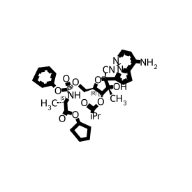 CC(C)C(=O)O[C@@H]1[C@@H](CO[P@@](=O)(N[C@@H](C)C(=O)OC2CCCC2)Oc2ccccc2)O[C@@](C#N)(c2ccc3c(N)ccnn23)[C@]1(C)O